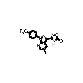 Cc1cnc2c(c1)c(-c1noc(=O)[nH]1)nn2-c1ccc(C(F)(F)F)cc1